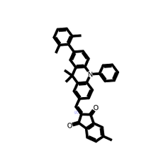 Cc1ccc2c(c1)C(=O)/C(=C\c1ccc3c(c1)C(C)(C)c1cc(-c4c(C)cccc4C)ccc1N3c1ccccc1)C2=O